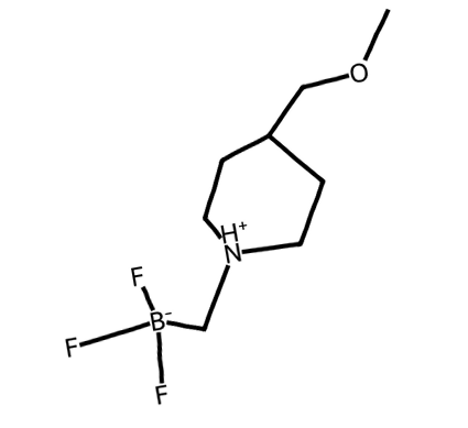 COCC1CC[NH+](C[B-](F)(F)F)CC1